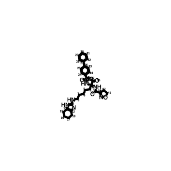 O=C(NC(CCCCCNc1nc2c([nH]1)CCCC2)(NS(=O)(=O)c1ccc(-c2ccccc2)cc1)C(=O)O)C1=NOCC1